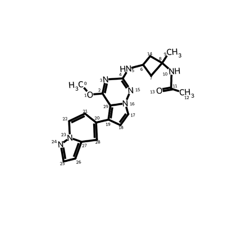 COc1nc(NC2CC(C)(NC(C)=O)C2)nn2ccc(-c3ccn4nccc4c3)c12